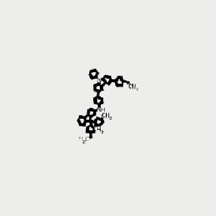 C=Cc1ccc(-c2ccc3c(c2)c2cc(-c4ccc(Nc5ccc6c(c5)C(c5ccc(C=C)cc5)(c5cc(C)ccc5C)c5ccccc5-6)cc4)ccc2n3-c2ccccc2)cc1